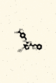 Cl.Cl.N=C(N)c1ccc(CNC(=O)[C@]23C[C@H]2CCN3C(=O)[C@@H](N)Cc2ccccc2)cc1